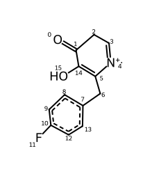 O=C1CC=[N+]C(Cc2ccc(F)cc2)=C1O